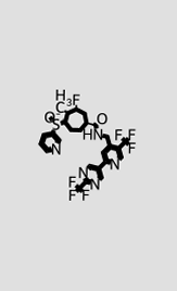 C[C@@H]1C([S+]([O-])c2cccnc2)CC[C@H](C(=O)NCc2cc(-c3cnc(C(F)(F)F)nc3)ncc2C(F)(F)F)C[C@H]1F